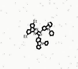 CCc1ccc2c3ccc(CC)cc3c3nc4c(-c5ccc6c7ccccc7n(-c7ccccc7)c6c5)sc(-c5ccc6c7ccccc7n(-c7ccccc7)c6c5)c4nc3c2c1